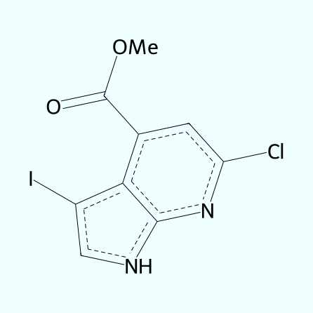 COC(=O)c1cc(Cl)nc2[nH]cc(I)c12